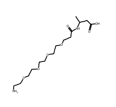 CC(CC(=O)O)NC(=O)CCOCCOCCOCCOCCN